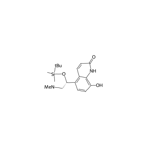 CNC[C@H](O[Si](C)(C)C(C)(C)C)c1ccc(O)c2[nH]c(=O)ccc12